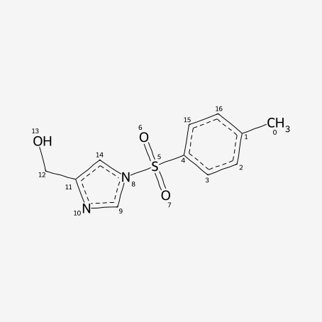 Cc1ccc(S(=O)(=O)n2cnc(CO)c2)cc1